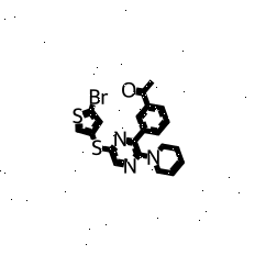 CC(=O)c1cccc(-c2nc(Sc3csc(Br)c3)cnc2N2CC=CCC2)c1